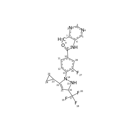 Cc1ncncc1NC(=O)c1ccc(N2NC(C(F)(F)F)C=C2C2CC2)c(F)c1